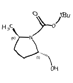 C[C@@H]1CC[C@@H](CO)N1C(=O)OC(C)(C)C